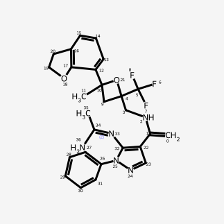 C=C(NCC1(C(F)(F)F)CC(C)(c2cccc3c2OCC3)O1)c1cnn(-c2ccccc2)c1/N=C(/C)N